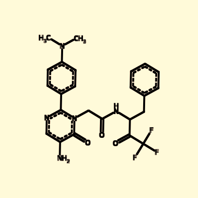 CN(C)c1ccc(-c2ncc(N)c(=O)n2CC(=O)NC(Cc2ccccc2)C(=O)C(F)(F)F)cc1